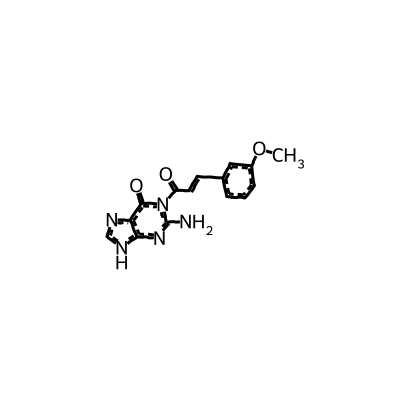 COc1cccc(/C=C/C(=O)n2c(N)nc3[nH]cnc3c2=O)c1